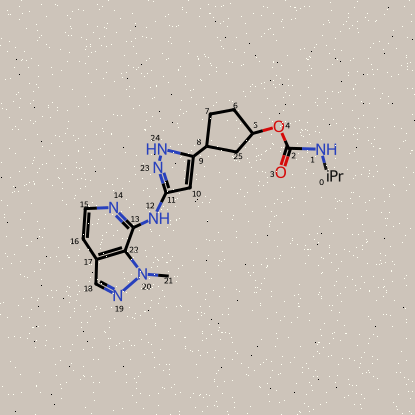 CC(C)NC(=O)OC1CCC(c2cc(Nc3nccc4cnn(C)c34)n[nH]2)C1